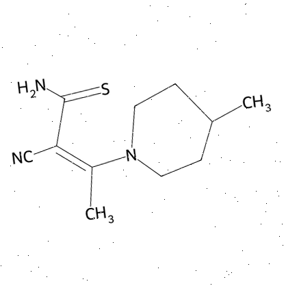 C/C(=C(\C#N)C(N)=S)N1CCC(C)CC1